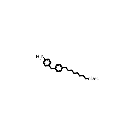 CCCCCCCCCCCCCCCCCCc1ccc(Cc2ccc(N)cc2)cc1